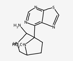 NC1NCC2CCC1(c1ncnc3scnc13)N2C(=O)O